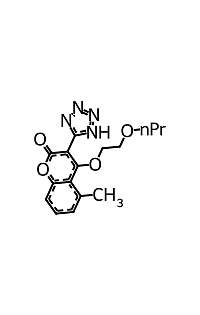 CCCOCCOc1c(-c2nnn[nH]2)c(=O)oc2cccc(C)c12